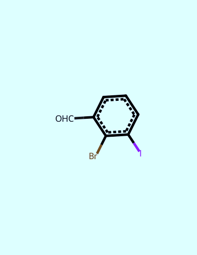 O=Cc1cccc(I)c1Br